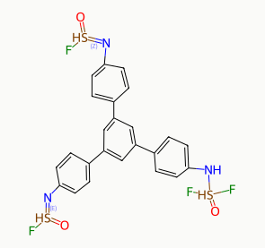 O=[SH](/F)=N/c1ccc(-c2cc(-c3ccc(/N=[SH](=O)/F)cc3)cc(-c3ccc(N[SH](=O)(F)F)cc3)c2)cc1